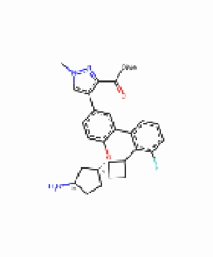 COC(=O)c1nn(C)cc1-c1ccc(O[C@@H]2CC[C@@H](N)C2)c(-c2cccc(F)c2C2CCC2)c1